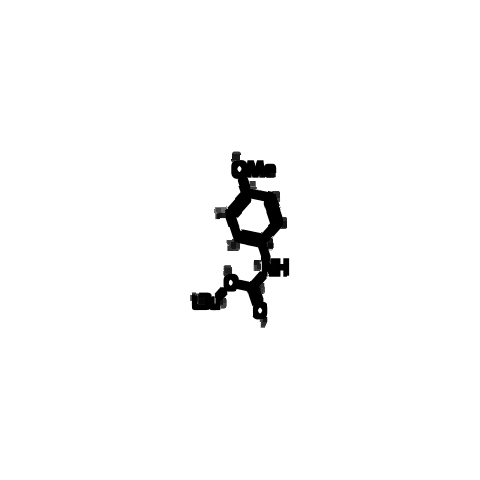 COc1ccc(NC(=O)OC(C)(C)C)cc1